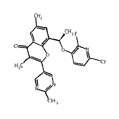 Cc1cc([C@@H](C)Oc2ccc(Cl)nc2F)c2oc(-c3cnc(C)nc3)c(C)c(=O)c2c1